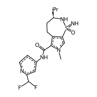 CC(C)[C@@H]1CCc2c(cn(C)c2C(=O)Nc2ccnc(C(F)F)c2)S(=N)(=O)N1